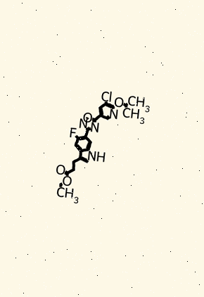 CCOC(=O)CCc1c[nH]c2cc(-c3noc(-c4cnc(OC(C)C)c(Cl)c4)n3)c(F)cc12